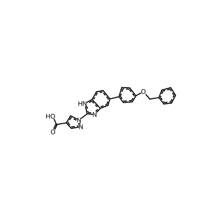 O=C(O)c1cnn(-c2nc3cc(-c4ccc(OCc5ccccc5)cc4)ccc3[nH]2)c1